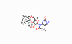 CC(=O)N(c1cc[nH]c(=O)n1)[C@@H]1O[C@@H]2CO[Si](C(C)(C)C)(C(C)(C)C)O[C@H]2[C@@H]1O